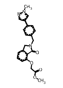 COC(=O)COc1cccc2c1C(=O)N(Cc1ccc(-c3cnn(C)c3)cc1)C2